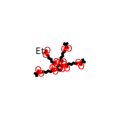 C=C(C)C(=O)OCCCCC(=O)OC1OC[C@@H](OC(=O)CCCCOC(=O)C(=C)C)[C@H](OC(=O)CCCCOC(=O)CC)[C@H]1OC(=O)CCCCOC(=O)C(=C)C